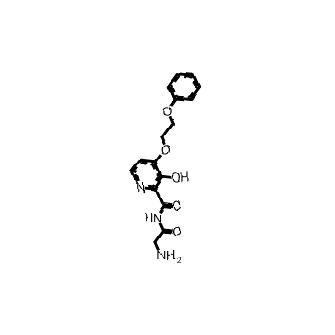 NCC(=O)NC(=O)c1nccc(OCCOc2ccccc2)c1O